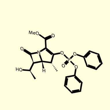 COC(=O)C1=C(OP(=O)(Oc2ccccc2)Oc2ccccc2)[C@H](C)[C@@H]2[C@@H]([C@@H](C)O)C(=O)N12